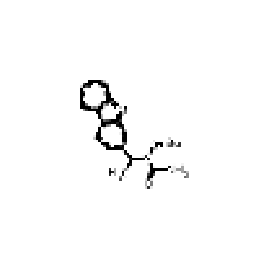 CCCCON(C(N)=O)C(C)c1ccc2c(c1)oc1ccccc12